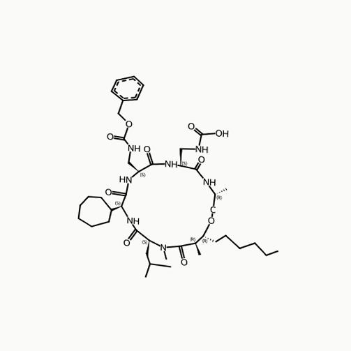 CCCCCC[C@H]1OC[C@@H](C)NC(=O)[C@H](CNC(=O)O)NC(=O)[C@H](CNC(=O)OCc2ccccc2)NC(=O)[C@H](C2CCCCCC2)NC(=O)[C@H](CC(C)C)N(C)C(=O)[C@@H]1C